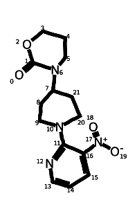 O=C1OCCCN1C1CCN(c2ncccc2[N+](=O)[O-])CC1